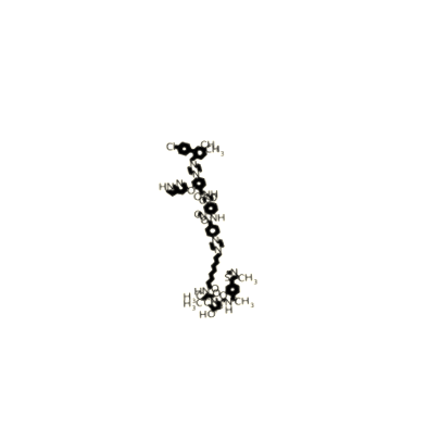 Cc1ncsc1-c1ccc([C@H](C)NC(=O)[C@@H]2C[C@@H](O)CN2C(=O)[C@@H](NC(=O)CCCCCCCCN2CCN(C3CCC(CNc4ccc(S(=O)(=O)NC(=O)c5ccc(N6CCN(CC7=C(c8ccc(Cl)cc8)CC(C)(C)CC7)CC6)cc5Oc5cnc6[nH]ccc6c5)cc4[N+](=O)[O-])CC3)CC2)C(C)(C)C)cc1